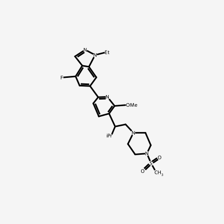 CCn1ncc2c(F)cc(-c3ccc(C(CN4CCN(S(C)(=O)=O)CC4)C(C)C)c(OC)n3)cc21